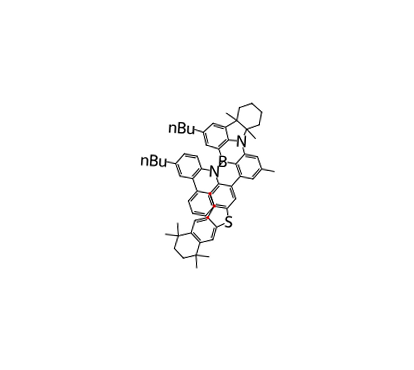 CCCCc1ccc(N2B3c4cc(CCCC)cc5c4N(c4cc(C)cc(c43)-c3cc4sc6cc7c(cc6c4cc32)C(C)(C)CCC7(C)C)C2(C)CCCCC52C)c(-c2ccccc2)c1